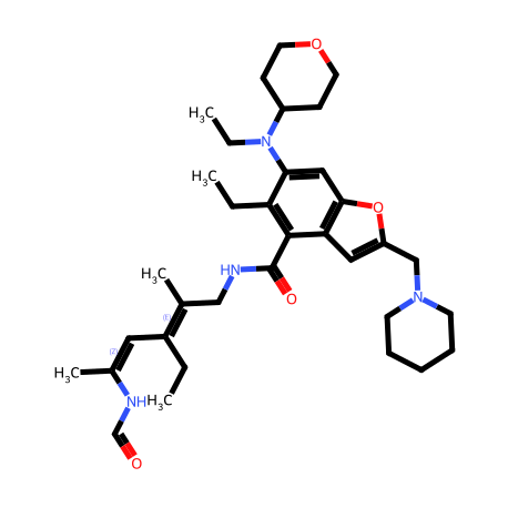 CCC(/C=C(/C)NC=O)=C(/C)CNC(=O)c1c(CC)c(N(CC)C2CCOCC2)cc2oc(CN3CCCCC3)cc12